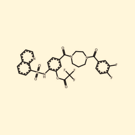 O=C(c1ccc(F)c(F)c1)N1CCCN(C(=O)c2ccc(NS(=O)(=O)c3cccc4cccnc34)c(OC(=O)C(F)(F)F)c2)CC1